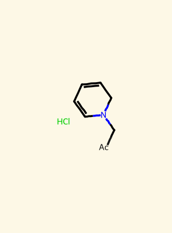 CC(=O)CN1C=CC=CC1.Cl